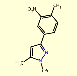 CCCn1nc(-c2ccc(C)c([N+](=O)[O-])c2)cc1C